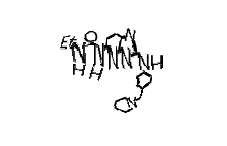 CCNC(=O)Nc1ccc2ncc(Nc3ccc(CN4CCCCC4)cc3)nc2n1